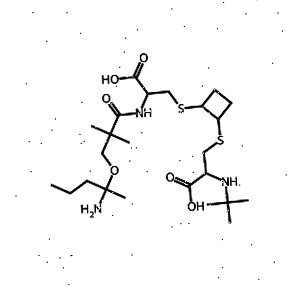 CCCC(C)(N)OCC(C)(C)C(=O)NC(CSC1CCC1SCC(NC(C)(C)C)C(=O)O)C(=O)O